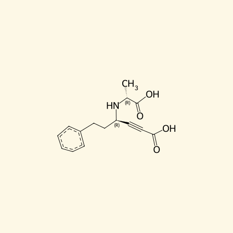 C[C@@H](N[C@@H](C#CC(=O)O)CCc1ccccc1)C(=O)O